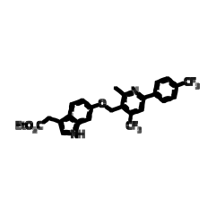 CCOC(=O)Cc1c[nH]c2cc(OCc3c(C(F)(F)F)cc(-c4ccc(C(F)(F)F)cc4)nc3C)ccc12